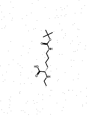 CCN[C@@H](CCCCNC(=O)OC(C)(C)C)C(=O)O